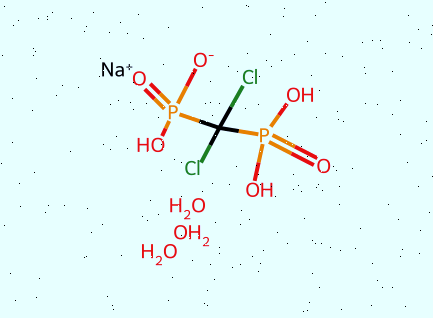 O.O.O.O=P([O-])(O)C(Cl)(Cl)P(=O)(O)O.[Na+]